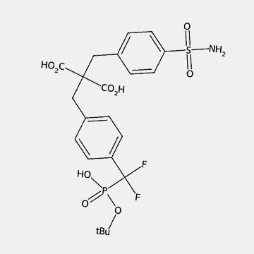 CC(C)(C)OP(=O)(O)C(F)(F)c1ccc(CC(Cc2ccc(S(N)(=O)=O)cc2)(C(=O)O)C(=O)O)cc1